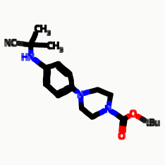 CC(C)(C#N)Nc1ccc(N2CCN(C(=O)OC(C)(C)C)CC2)cc1